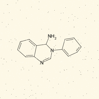 NC1c2ccccc2N=CN1c1ccccc1